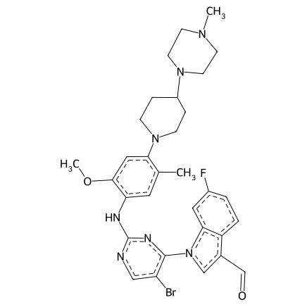 COc1cc(N2CCC(N3CCN(C)CC3)CC2)c(C)cc1Nc1ncc(Br)c(-n2cc(C=O)c3ccc(F)cc32)n1